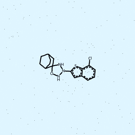 Clc1cccc2cc(N3NOC4(CC5CCC4CC5)N3)sc12